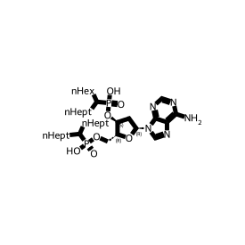 CCCCCCCC(CCCCCCC)P(=O)(O)OC[C@H]1O[C@@H](n2cnc3c(N)ncnc32)C[C@@H]1OP(=O)(O)C(CCCCCC)CCCCCCC